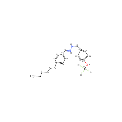 CC/C=C/CCc1ccc(/C=N/N=C\c2ccc(OC(F)(F)F)cc2)cc1